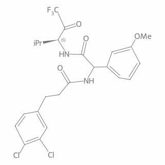 COc1cccc(C(NC(=O)CCc2ccc(Cl)c(Cl)c2)C(=O)N[C@H](C(=O)C(F)(F)F)C(C)C)c1